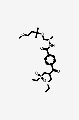 CCSCC(CS(=O)(=O)CC)C(=O)c1ccc(C(=O)NN(C)COC(C)(C)CCOC)cc1